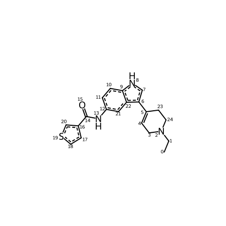 CCN1CC=C(c2c[nH]c3ccc(NC(=O)c4ccsc4)cc23)CC1